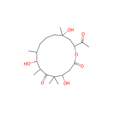 CC(=O)C1CC(C)(O)CCCC(C)C(O)C(C)C(=O)C(C)(C)C(O)CC(=O)O1